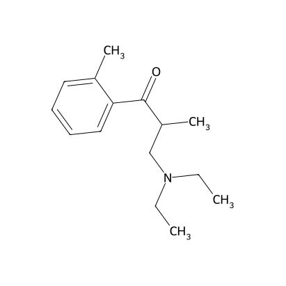 CCN(CC)CC(C)C(=O)c1ccccc1C